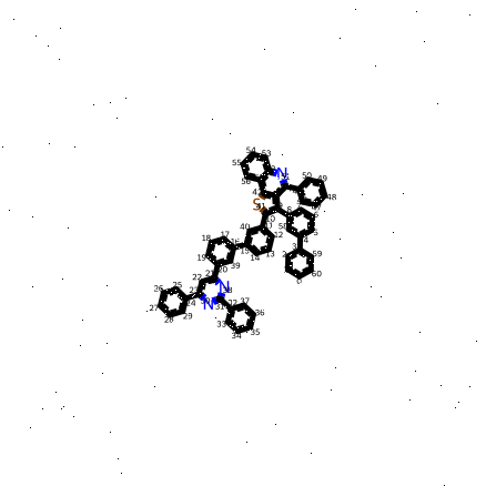 c1ccc(-c2cccc(-c3c(-c4cccc(-c5cccc(-c6cc(-c7ccccc7)nc(-c7ccccc7)n6)c5)c4)sc4c3c(-c3ccccc3)nc3ccccc34)c2)cc1